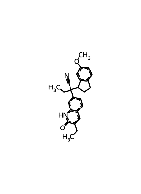 CCc1cc2ccc(C(C#N)(CC)C3CCc4ccc(OC)cc43)cc2[nH]c1=O